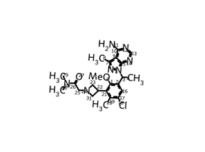 COc1c(C(C)n2nc(C)c3c(N)ncnc32)cc(Cl)c(C)c1C1CN(CC(=O)N(C)C)C1